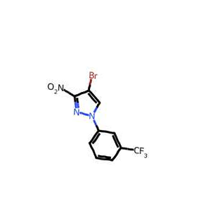 O=[N+]([O-])c1nn(-c2cccc(C(F)(F)F)c2)cc1Br